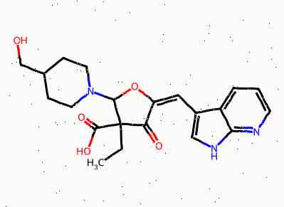 CCC1(C(=O)O)C(=O)C(=Cc2c[nH]c3ncccc23)OC1N1CCC(CO)CC1